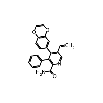 C=Cc1cnc(C(N)=O)c(-c2ccccc2)c1-c1ccc2c(c1)OC=CO2